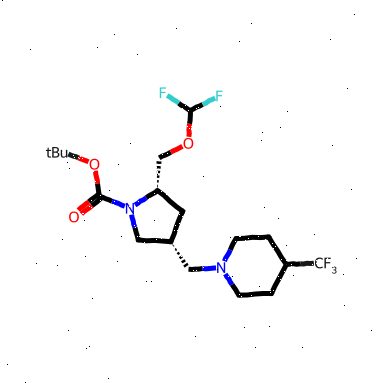 CC(C)(C)OC(=O)N1C[C@@H](CN2CCC(C(F)(F)F)CC2)C[C@H]1COC(F)F